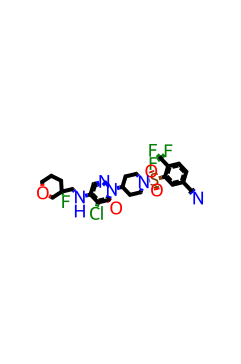 N#Cc1ccc(C(F)(F)F)c(S(=O)(=O)N2CCC(n3ncc(NC[C@@]4(F)CCCOC4)c(Cl)c3=O)CC2)c1